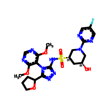 COc1ncnc(OC)c1-n1c(NS(=O)(=O)[C@H]2C[C@@H](O)CN(c3ncc(F)cn3)C2)nnc1C1CCCO1